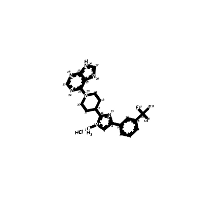 Cl.Cn1cc(-c2cccc(C(F)(F)F)c2)nc1C1CCN(c2ncnc3[nH]cnc23)CC1